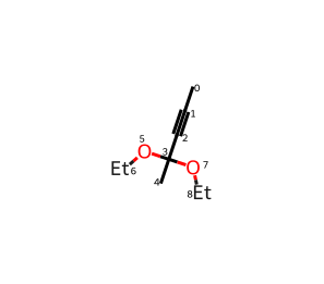 CC#CC(C)(OCC)OCC